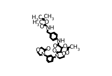 CC(=O)OC(C(=O)Nc1ccc(CNC(=O)OC(C)(C)C)cc1)C1OCCN(c2cccc(N3CCOCC3=O)c2)C1=O